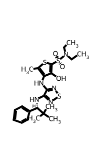 CCN(CC)S(=O)(=O)c1sc(C)c(Nc2nsnc2N[C@@H](c2ccccc2)C(C)(C)C)c1O